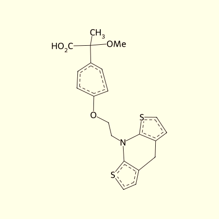 COC(C)(C(=O)O)c1ccc(OCCN2c3sccc3Cc3ccsc32)cc1